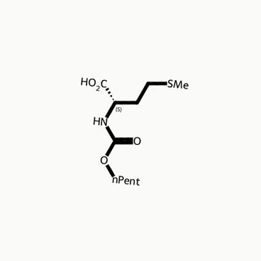 CCCCCOC(=O)N[C@@H](CCSC)C(=O)O